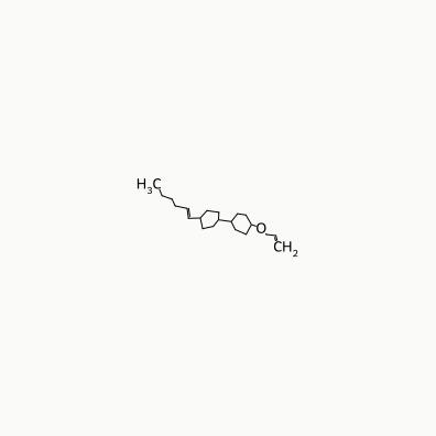 C=CCOC1CCC(C2CCC(/C=C/CCCC)CC2)CC1